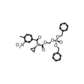 Cc1ccc(C(=O)N(C(=O)OCOP(=O)(OCc2ccccc2)OCc2ccccc2)C2CC2)cc1[N+](=O)[O-]